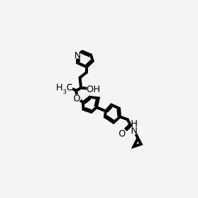 CC(Oc1ccc(-c2ccc(CC(=O)NC3CC3)cc2)cc1)C(O)CCc1cccnc1